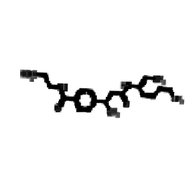 C\C=C/C=C\C(=C/C)NC(=O)CC(C)c1ccc(C(=O)NCCS(=O)(=O)O)cc1